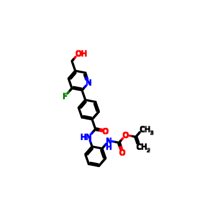 C=C(C)OC(=O)Nc1ccccc1NC(=O)c1ccc(-c2ncc(CO)cc2F)cc1